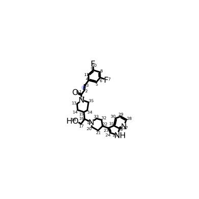 O=C(/C=C/c1cc(F)cc(F)c1)N1CCC(C(CO)N2CCC(c3c[nH]c4ncccc34)CC2)CC1